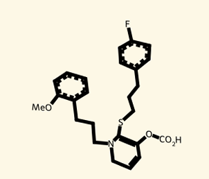 COc1ccccc1CCCN1CC=CC(OC(=O)O)=C1SCCCc1ccc(F)cc1